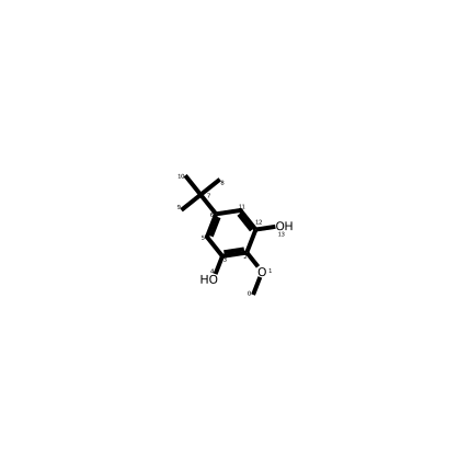 COc1c(O)cc(C(C)(C)C)cc1O